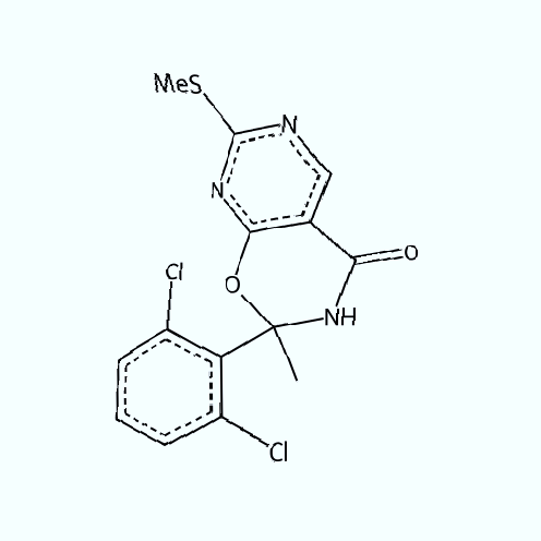 CSc1ncc2c(n1)OC(C)(c1c(Cl)cccc1Cl)NC2=O